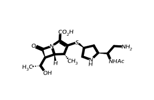 CC(=O)NC(CN)[C@@H]1C[C@H](SC2=C(C(=O)O)N3C(=O)[C@H]([C@@H](C)O)[C@H]3[C@H]2C)CN1